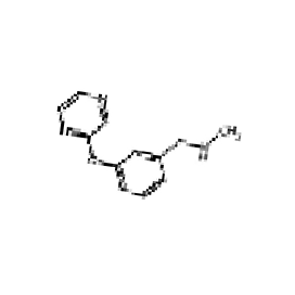 CNCc1cccc(Oc2cnccn2)c1